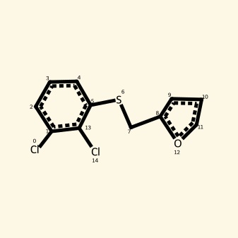 Clc1[c]ccc(SCc2ccco2)c1Cl